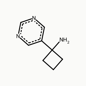 NC1(c2cncnc2)CCC1